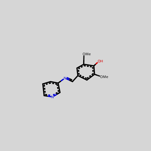 COc1cc(C=Nc2cccnc2)cc(OC)c1O